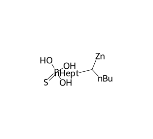 CCCCCCC[CH]([Zn])CCCC.OP(O)(O)=S